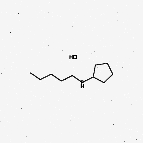 CCCCCPC1CCCC1.Cl